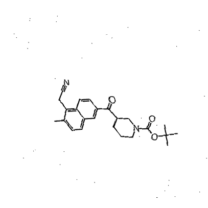 Cc1ccc2cc(C(=O)C3CCCN(C(=O)OC(C)(C)C)C3)ccc2c1CC#N